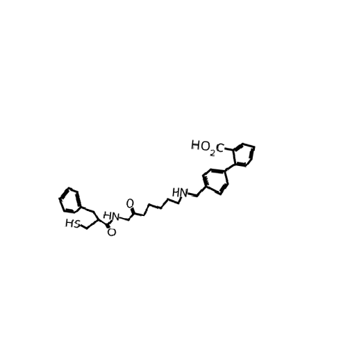 O=C(CCCCCNCc1ccc(-c2ccccc2C(=O)O)cc1)CNC(=O)C(CS)Cc1ccccc1